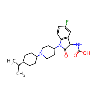 CC(C)[C@H]1CC[C@@H](N2CCC(N3C(=O)C(NC(=O)O)c4cc(F)ccc43)CC2)CC1